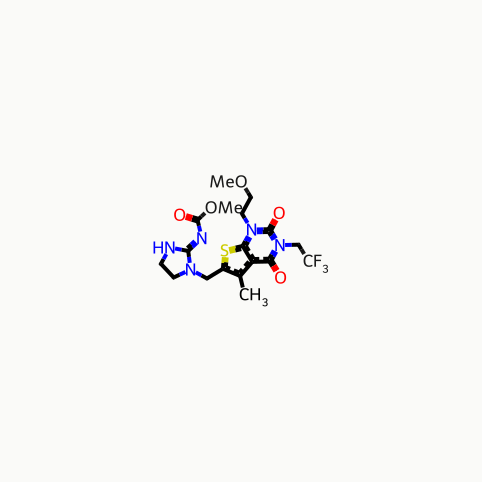 COCCn1c(=O)n(CC(F)(F)F)c(=O)c2c(C)c(CN3CCNC3=NC(=O)OC)sc21